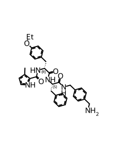 CCOc1ccc(C[C@@H](NC(=O)c2[nH]ccc2C)C(=O)N[C@@H](Cc2ccccc2)C(=O)NCc2ccc(CN)cc2)cc1